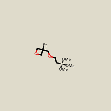 CCC1(COCC[Si](OC)(OC)OC)COC1